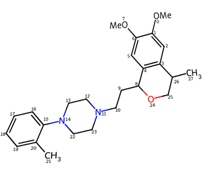 COc1cc2c(cc1OC)C(CCN1CCN(c3ccccc3C)CC1)OCC2C